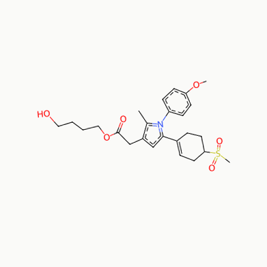 COc1ccc(-n2c(C3=CCC(S(C)(=O)=O)CC3)cc(CC(=O)OCCCCO)c2C)cc1